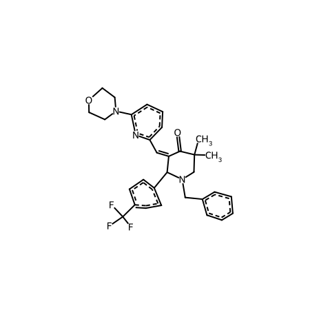 CC1(C)CN(Cc2ccccc2)C(c2ccc(C(F)(F)F)cc2)C(=Cc2cccc(N3CCOCC3)n2)C1=O